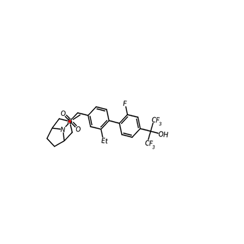 CCc1cc(CN2CC3CCC(C2)N3S(C)(=O)=O)ccc1-c1ccc(C(O)(C(F)(F)F)C(F)(F)F)cc1F